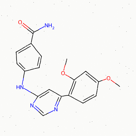 COc1ccc(-c2cc(Nc3ccc(C(N)=O)cc3)ncn2)c(OC)c1